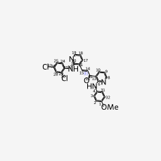 COc1ccc(Nc2ncccc2C(=O)/C=C/c2cccnc2Nc2ccc(Cl)cc2Cl)cc1